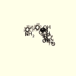 C[C@]12C=CC(=O)C=C1CC[C@@H]1[C@@H]2[C@@H](O)C[C@@]2(C)[C@H]1C[C@H]1O[C@@H](c3cccc(CCc4cccc(N)c4)c3)O[C@]12C(=O)CO